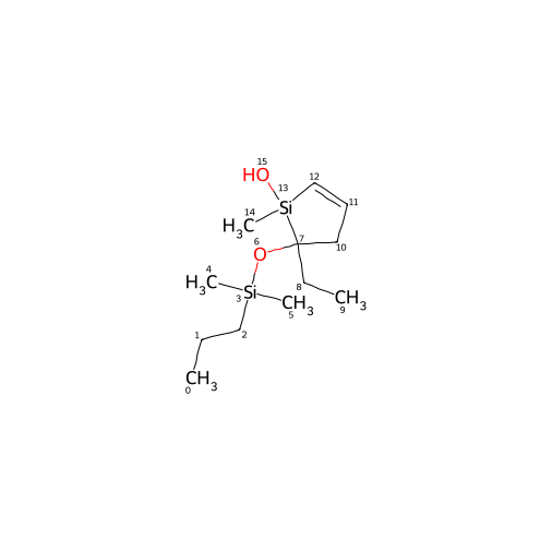 CCC[Si](C)(C)OC1(CC)CC=C[Si]1(C)O